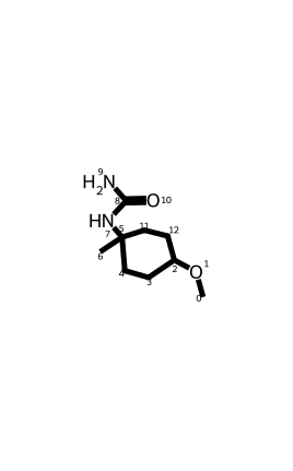 COC1CCC(C)(NC(N)=O)CC1